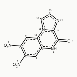 O=c1[nH]c2cc([N+](=O)[O-])c([N+](=O)[O-])cc2n2nnnc12